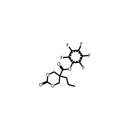 CCCC1(C(=O)Oc2c(F)c(F)c(F)c(F)c2F)COC(=O)OC1